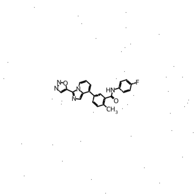 Cc1ccc(-c2cccn3c(-c4cnno4)ncc23)cc1C(=O)Nc1ccc(F)cc1